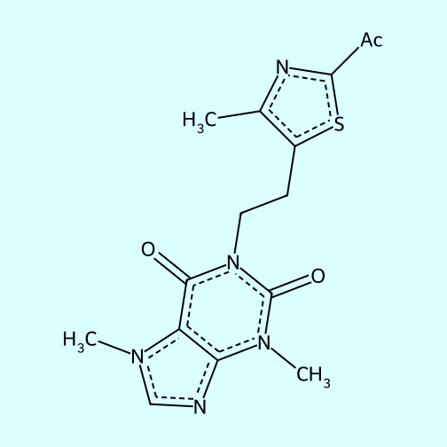 CC(=O)c1nc(C)c(CCn2c(=O)c3c(ncn3C)n(C)c2=O)s1